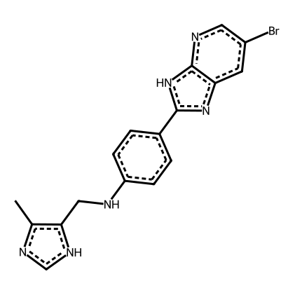 Cc1nc[nH]c1CNc1ccc(-c2nc3cc(Br)cnc3[nH]2)cc1